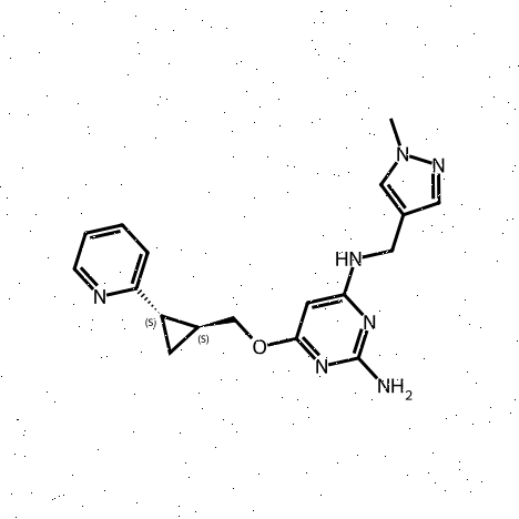 Cn1cc(CNc2cc(OC[C@H]3C[C@@H]3c3ccccn3)nc(N)n2)cn1